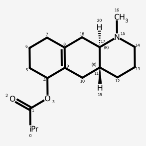 CC(C)C(=O)OC1CCCC2=C1C[C@H]1CCCN(C)[C@@H]1C2